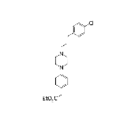 CCOC(=O)Cc1ccc(N2CCN(CC=Cc3ccc(Cl)cc3)CC2)cc1